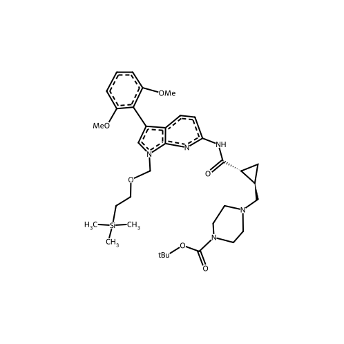 COc1cccc(OC)c1-c1cn(COCC[Si](C)(C)C)c2nc(NC(=O)[C@@H]3C[C@H]3CN3CCN(C(=O)OC(C)(C)C)CC3)ccc12